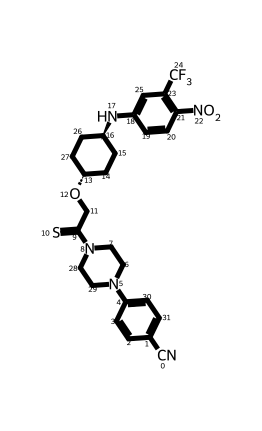 N#Cc1ccc(N2CCN(C(=S)CO[C@H]3CC[C@H](Nc4ccc([N+](=O)[O-])c(C(F)(F)F)c4)CC3)CC2)cc1